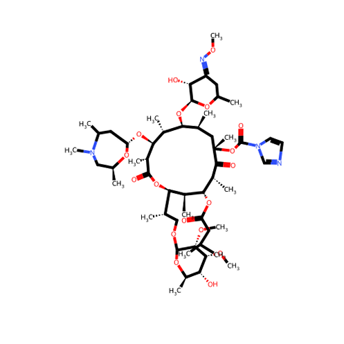 CON=C1CC(C)O[C@@H](O[C@@H]2[C@@H](C)[C@H](O[C@H]3CC(C)N(C)C[C@H](C)O3)[C@@H](C)C(=O)O[C@H]([C@@H](C)COC3O[C@H](C)[C@@H](O)[C@@H](OC)[C@H]3OC)[C@H](C)[C@@H](OC(=O)CC(C)C)[C@@H](C)C(=O)[C@@](C)(OC(=O)n3ccnc3)C[C@@H]2C)[C@@H]1O